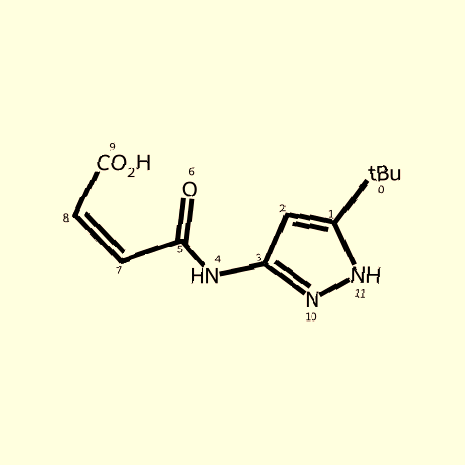 CC(C)(C)c1cc(NC(=O)/C=C\C(=O)O)n[nH]1